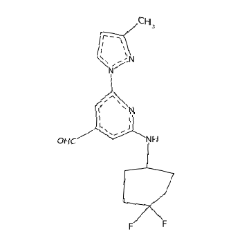 Cc1ccn(-c2cc(C=O)cc(NC3CCC(F)(F)CC3)n2)n1